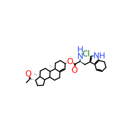 CC(=O)[C@H]1CCC2C3CCC4=C[C@@H](OC(=O)[C@H](Cc5c[nH]c6c5C=CCC6)NCl)CC[C@]4(C)C3CC[C@@]21C